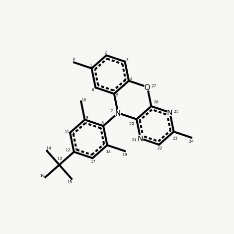 Cc1ccc2c(c1)N(c1c(C)cc(C(C)(C)C)cc1C)c1ncc(C)nc1O2